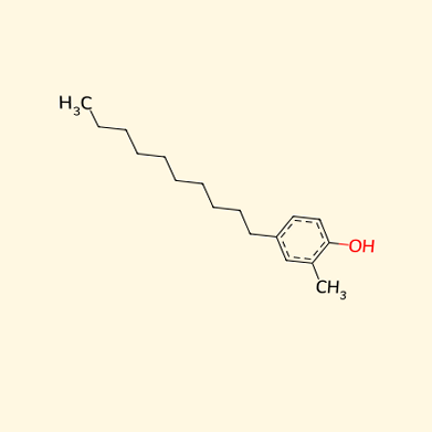 CCCCCCCCCCc1ccc(O)c(C)c1